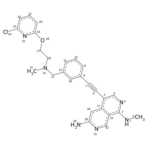 CNc1ncc(C#Cc2cccc(CN(C)CCOc3cccc(Cl)n3)c2)c2cc(N)ncc12